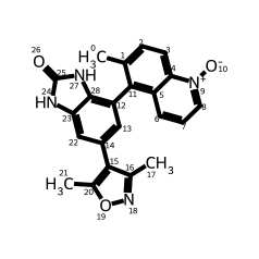 Cc1ccc2c(ccc[n+]2[O-])c1-c1cc(-c2c(C)noc2C)cc2[nH]c(=O)[nH]c12